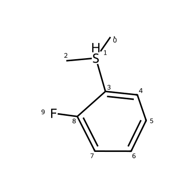 [CH2][SH](C)c1ccccc1F